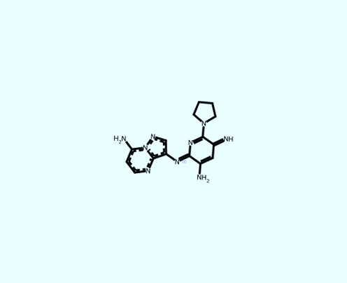 N=C1C=C(N)/C(=N/c2cnn3c(N)ccnc23)N=C1N1CCCC1